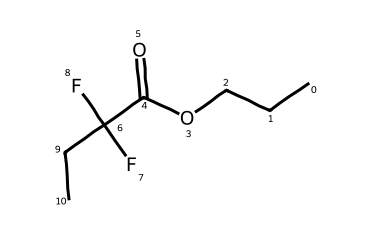 CCCOC(=O)C(F)(F)CC